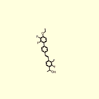 CCOc1ccc(-c2ccc(/C=C/c3ccc(C(C)O)c(F)c3F)cc2)c(F)c1F